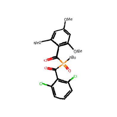 CCCCP(=O)(C(=O)c1c(Cl)cccc1Cl)C(=O)c1c(OC)cc(OC)cc1OC